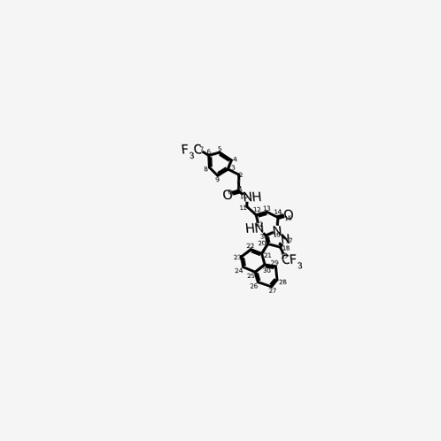 O=C(Cc1ccc(C(F)(F)F)cc1)NCc1cc(=O)n2nc(C(F)(F)F)c(-c3cccc4ccccc34)c2[nH]1